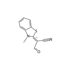 CN1/C(=C(/C#N)C=O)Sc2ccccc21